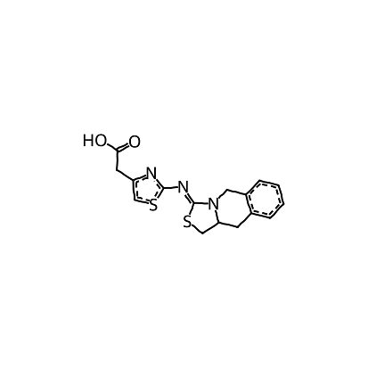 O=C(O)Cc1csc(N=C2SCC3Cc4ccccc4CN23)n1